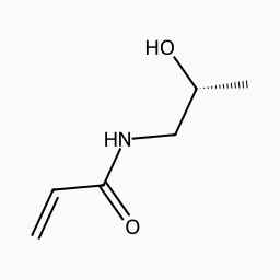 C=CC(=O)NC[C@@H](C)O